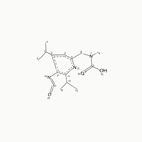 CC(C)c1cc(CN(C)C(=O)O)nc(C(C)C)c1N=C=O